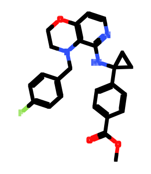 COC(=O)c1ccc(C2(Nc3nccc4c3N(Cc3ccc(F)cc3)CCO4)CC2)cc1